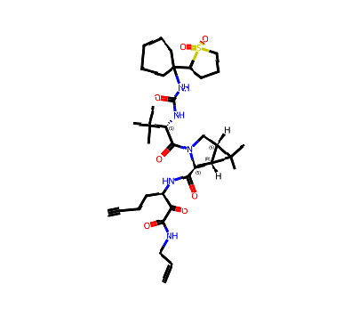 C#CCCC(NC(=O)[C@@H]1[C@@H]2[C@H](CN1C(=O)[C@@H](NC(=O)NC1(C3CCCS3(=O)=O)CCCCC1)C(C)(C)C)C2(C)C)C(=O)C(=O)NCC=C